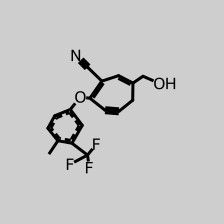 Cc1ccc(OC2=C(C#N)C=C(CO)CC#C2)cc1C(F)(F)F